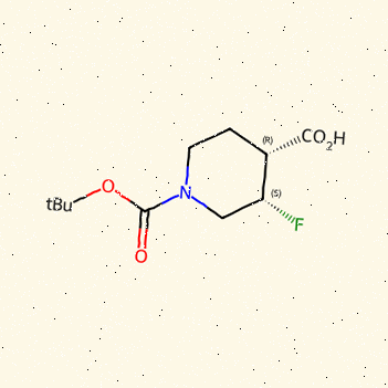 CC(C)(C)OC(=O)N1CC[C@H](C(=O)O)[C@H](F)C1